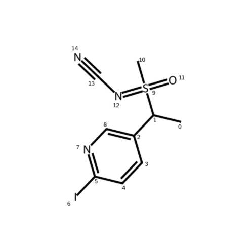 CC(c1ccc(I)nc1)S(C)(=O)=NC#N